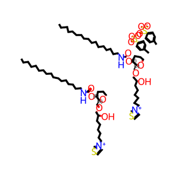 CCCCCCCCCCCCCCCCCNC(=O)O[C@@H]1CCCO[C@H]1COCC(O)CCCCCC[n+]1ccsc1.CCCCCCCCCCCCCCCCCNC(=O)O[C@@H]1CCCO[C@H]1COCC(O)CCCCCC[n+]1ccsc1.Cc1ccc(S(=O)(=O)[O-])cc1.Cc1ccc(S(=O)(=O)[O-])cc1